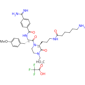 COc1ccc(C[C@H](NC(=O)c2ccc(C(=N)N)cc2)C(=O)N2CCN(CC(=O)O)C(=O)[C@@H]2CCCNC(=O)CCCCCN)cc1.O=C(O)C(F)(F)F